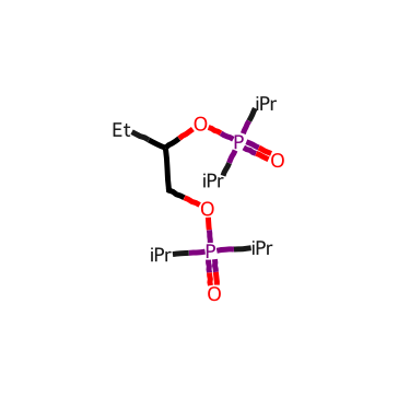 CCC(COP(=O)(C(C)C)C(C)C)OP(=O)(C(C)C)C(C)C